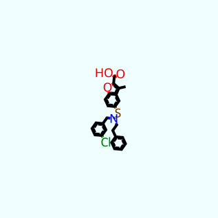 Cc1c(C(=O)O)oc2ccc(SN(CCc3ccccc3)Cc3cccc(Cl)c3)cc12